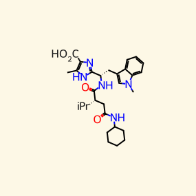 Cc1[nH]c([C@H](Cc2cn(C)c3ccccc23)NC(=O)[C@H](CC(=O)NC2CCCCC2)C(C)C)nc1C(=O)O